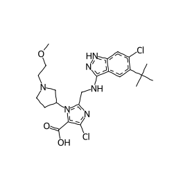 COCCN1CCC(n2c(CNc3n[nH]c4cc(Cl)c(C(C)(C)C)cc34)nc(Cl)c2C(=O)O)C1